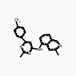 Cc1cc2c(Nc3cc(-c4ccc(C(F)(F)F)cc4)nc(C)n3)cccc2cn1